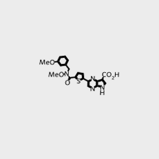 COc1cccc(CN(OC)C(=O)c2ccc(-c3cnc4[nH]cc(C(=O)O)c4n3)s2)c1